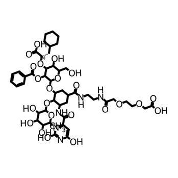 CC1OC(OC2C(NC(=O)c3cc(O)nc(O)n3)CC(C(=O)NCCNC(=O)COCCOCC(=O)O)CC2OC2OC(CO)C(O)C(O[C@@H](CC3CCCCC3)C(=O)O)C2OC(=O)c2ccccc2)C(O)C(O)C1O